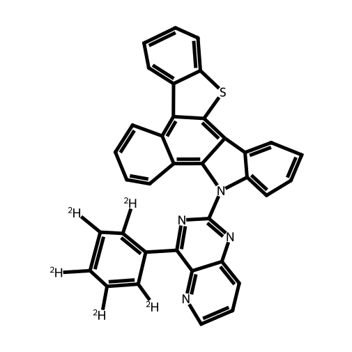 [2H]c1c([2H])c([2H])c(-c2nc(-n3c4ccccc4c4c5sc6ccccc6c5c5ccccc5c43)nc3cccnc23)c([2H])c1[2H]